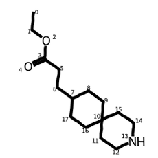 CCOC(=O)CCC1CCC2(CCNCC2)CC1